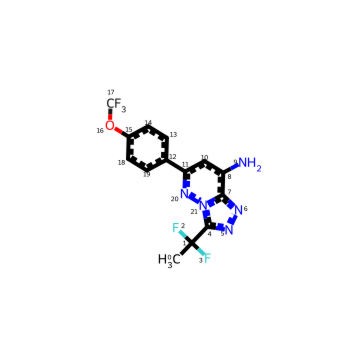 CC(F)(F)c1nnc2c(N)cc(-c3ccc(OC(F)(F)F)cc3)nn12